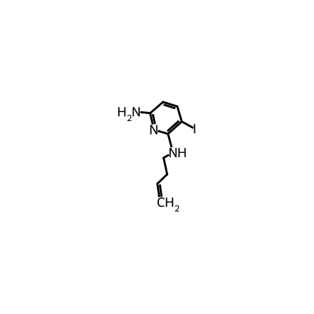 C=CCCNc1nc(N)ccc1I